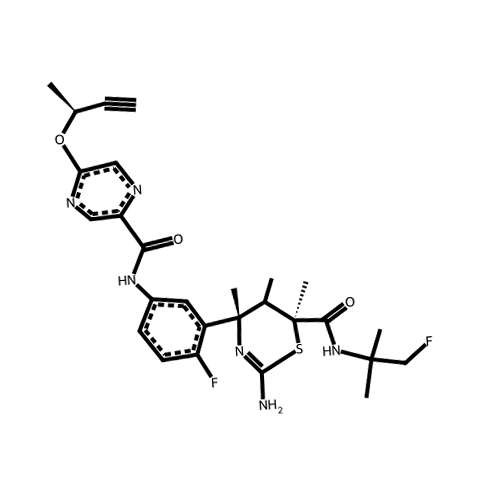 C#C[C@H](C)Oc1cnc(C(=O)Nc2ccc(F)c([C@@]3(C)N=C(N)S[C@](C)(C(=O)NC(C)(C)CF)C3C)c2)cn1